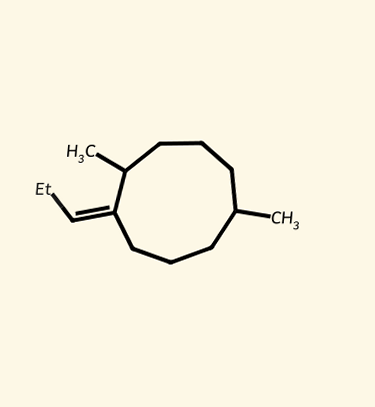 CCC=C1CCCC(C)CCCC1C